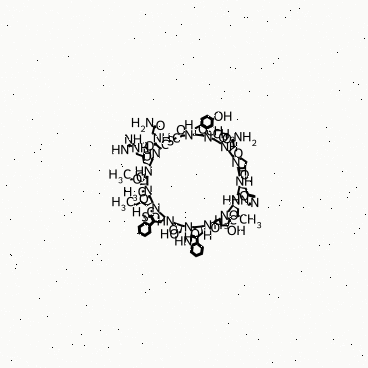 CCCC[C@H]1C(=O)N(C)[C@@H](COCC)C(=O)N[C@@H](CCCNC(=N)N)C(=O)NC(C(=O)NCC(N)=O)CSCC(=O)N[C@@H](Cc2ccc(O)cc2)C(=O)N(C)[C@@H](C)C(=O)N[C@@H](CC(N)=O)C(=O)N2CCC[C@H]2C(=O)N[C@@H](Cc2cnc[nH]2)C(=O)N[C@@H](CC(C)C)C(=O)N2C[C@H](O)C[C@H]2C(=O)N[C@@H](Cc2c[nH]c3ccccc23)C(=O)N[C@@H](CO)C(=O)N[C@@H](Cc2csc3ccccc23)C(=O)N1C